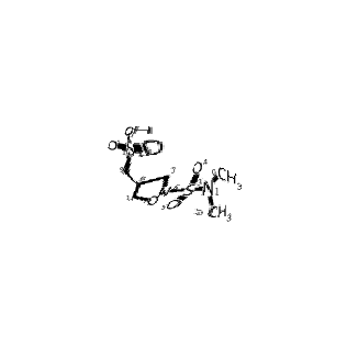 CN(C)S(=O)(=O)N1C[C@H](CS(=O)(=O)O)CO1